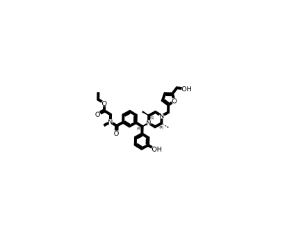 CCOC(=O)CN(C)C(=O)c1cccc([C@H](c2cccc(O)c2)N2C[C@@H](C)N(Cc3ccc(CO)o3)C[C@@H]2C)c1